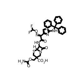 NC(=O)OCC1(C(=O)O)CS[C@@H]2C(NC(=O)C(=NOC(F)F)c3csc(NC(c4ccccc4)(c4ccccc4)c4ccccc4)n3)C(=O)N2C1